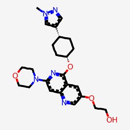 Cn1cc([C@H]2CC[C@@H](Oc3nc(N4CCOCC4)cc4ncc(OCCO)cc34)CC2)cn1